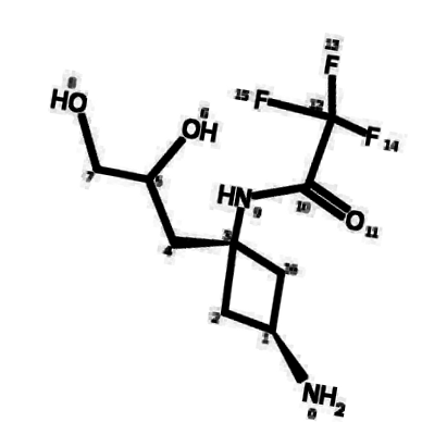 N[C@H]1C[C@](CC(O)CO)(NC(=O)C(F)(F)F)C1